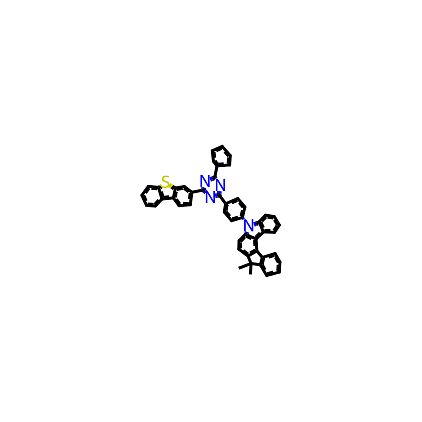 CC1(C)c2ccccc2-c2c1ccc1c2c2ccccc2n1-c1ccc(-c2nc(-c3ccccc3)nc(-c3ccc4c(c3)sc3ccccc34)n2)cc1